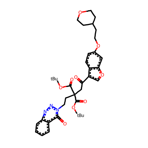 CC(C)(C)OC(=O)C(CCn1nnc2ccccc2c1=O)(CC(=O)c1coc2cc(OCCC3CCOCC3)ccc12)C(=O)OC(C)(C)C